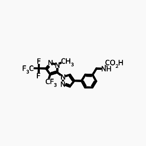 Cn1nc(C(F)(F)C(F)(F)F)c(C(F)(F)F)c1-n1cc(-c2cccc(CNC(=O)O)c2)cn1